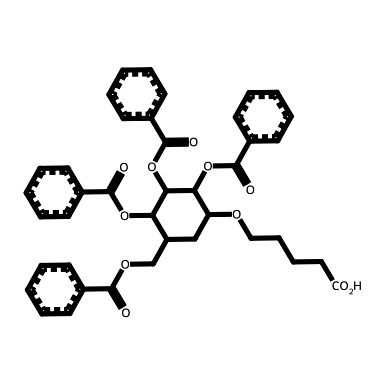 O=C(O)CCCCOC1CC(COC(=O)c2ccccc2)C(OC(=O)c2ccccc2)C(OC(=O)c2ccccc2)C1OC(=O)c1ccccc1